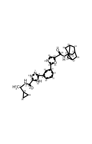 C[C@H](NC(=O)c1nnc(-c2cccc(-c3ncc(C(=O)NC45CC6CC(CC(C6)C4)C5)o3)c2)[nH]1)C1CC1